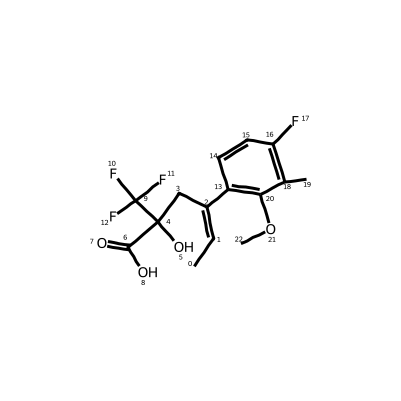 CC=C(CC(O)(C(=O)O)C(F)(F)F)c1ccc(F)c(C)c1OC